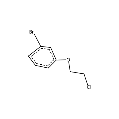 ClCCOc1cccc(Br)c1